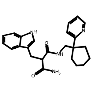 NC(=O)[C](Cc1c[nH]c2ccccc12)C(=O)NCC1(c2ccccn2)CCCCC1